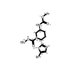 CC(C)OC(=O)N[C@H]1CC[C@H](c2ncc(Br)s2)N(C(=O)OC(C)(C)C)C1